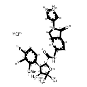 COc1c([C@H]2[C@H](C(=O)Nc3ccc4c(c3)CN(c3cn[nH]c3)C4=O)O[C@@](C)(C(F)(F)F)[C@H]2C)ccc(F)c1F.Cl